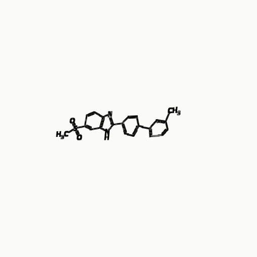 Cc1cccc(-c2ccc(-c3nc4ccc(S(C)(=O)=O)cc4[nH]3)cc2)c1